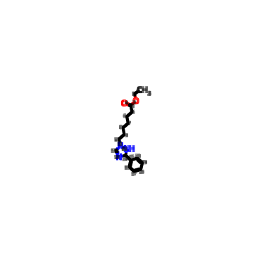 CCOC(=O)CCCCCCN1C=NC(c2ccccc2)N1